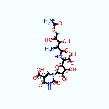 NC(=O)OCC(O)C(O)C(N)C(=O)NC(C(=O)O)C1OC(n2cc(C(=O)O)c(=O)[nH]c2=O)C(O)C1O